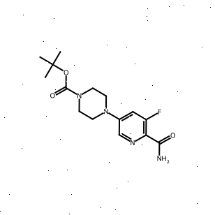 CC(C)(C)OC(=O)N1CCN(c2cnc(C(N)=O)c(F)c2)CC1